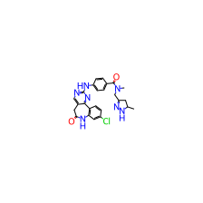 CC1CC(CN(C)C(=O)c2ccc(Nc3ncc4c(n3)-c3ccc(Cl)cc3NC(=O)C4)cc2)=NN1